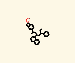 CCC(CC(CC(C)c1ccc2c(c1)CC2OC)c1cccc2ccccc12)c1ccccc1